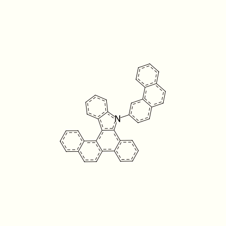 c1ccc2c(c1)ccc1ccc(-n3c4ccccc4c4c5c6ccccc6ccc5c5ccccc5c43)cc12